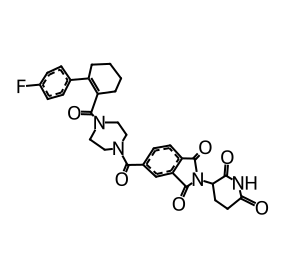 O=C1CCC(N2C(=O)c3ccc(C(=O)N4CCN(C(=O)C5=C(c6ccc(F)cc6)CCCC5)CC4)cc3C2=O)C(=O)N1